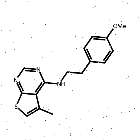 COc1ccc(CCNc2ncnc3scc(C)c23)cc1